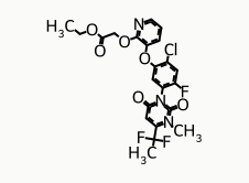 CCOC(=O)COc1ncccc1Oc1cc(-n2c(=O)cc(C(C)(F)F)n(C)c2=O)c(F)cc1Cl